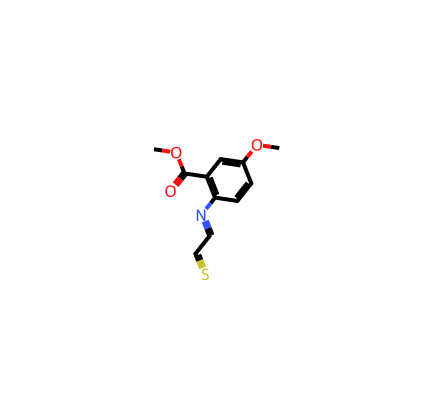 COC(=O)c1cc(OC)ccc1N=CC=S